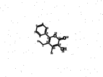 CCc1c(-c2ccccc2)oc(=O)c(O)c1C